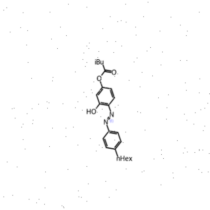 CCCCCCc1ccc(/N=N/c2ccc(OC(=O)C(C)CC)cc2O)cc1